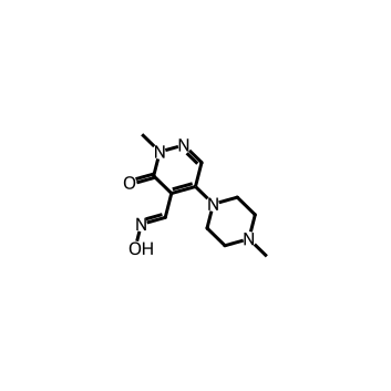 CN1CCN(c2cnn(C)c(=O)c2C=NO)CC1